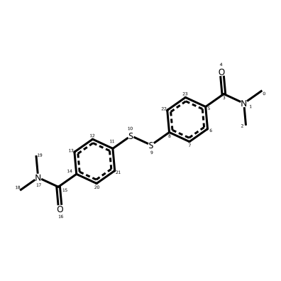 CN(C)C(=O)c1ccc(SSc2ccc(C(=O)N(C)C)cc2)cc1